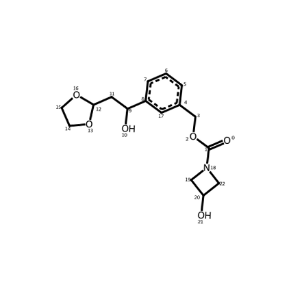 O=C(OCc1cccc(C(O)CC2OCCO2)c1)N1CC(O)C1